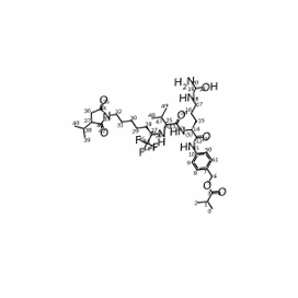 CC(C)C(=O)OCc1ccc(NC(=O)[C@H](CCCNC(N)O)NC(=O)[C@@H](N[C@H](CCCCCN2C(=O)CC(C(C)C)C2=O)C(F)(F)F)C(C)C)cc1